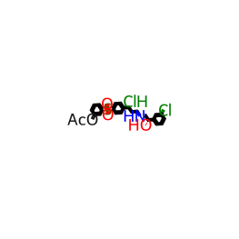 CC(=O)Oc1cccc(S(=O)(=O)c2ccc(CCCNC[C@@H](O)c3cccc(Cl)c3)cc2)c1.Cl